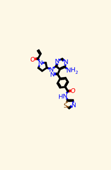 C=CC(=O)N1CCC(n2nc(-c3ccc(C(=O)Nc4cncs4)cc3)c3c(N)ncnc32)C1